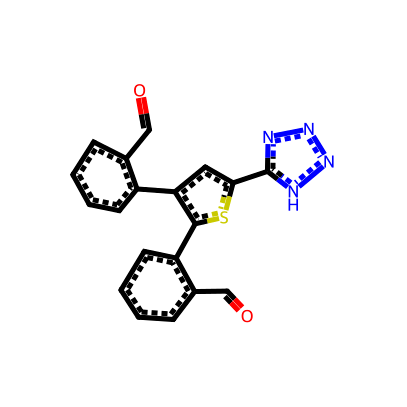 O=Cc1ccccc1-c1cc(-c2nnn[nH]2)sc1-c1ccccc1C=O